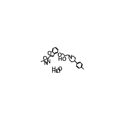 Cc1ccc(C2CCN(C[C@H](O)COc3cccc4oc(-c5nnc(C)o5)cc34)CC2)cc1.Cl.O